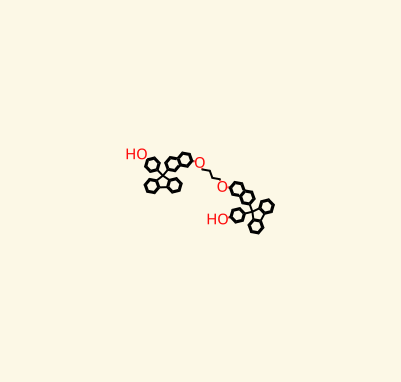 Oc1ccc(C2(c3ccc4ccc(OCCCCOc5ccc6ccc(C7(c8ccc(O)cc8)c8ccccc8-c8ccccc87)cc6c5)cc4c3)c3ccccc3-c3ccccc32)cc1